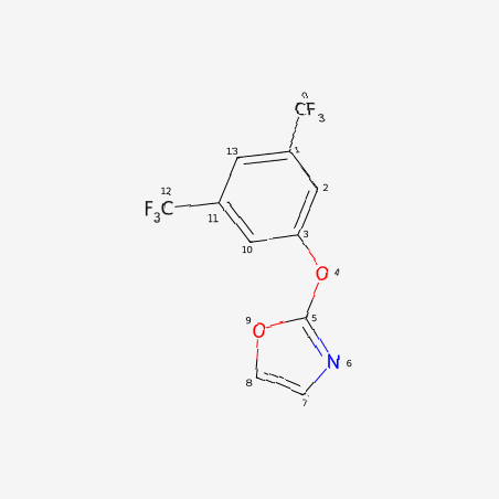 FC(F)(F)c1cc(Oc2n[c]co2)cc(C(F)(F)F)c1